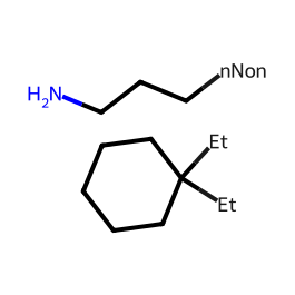 CCC1(CC)CCCCC1.CCCCCCCCCCCCN